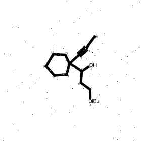 CC#CC1(C(O)CCOCC(C)C)CCCCC1